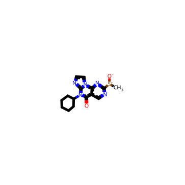 C[S+]([O-])c1ncc2c(=O)n(C3CCCCC3)c3nccn3c2n1